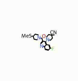 CSC1CCN(C(=O)c2cnc3ccc(F)cc3c2N2CCC(C)(C#N)CC2)CC1